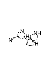 N#Cc1cncc(C2=CCC[C@@H]3CCNC[C@H]23)c1